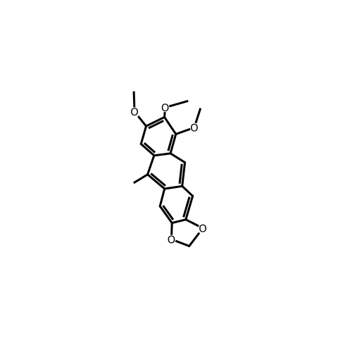 COc1cc2c(C)c3cc4c(cc3cc2c(OC)c1OC)OCO4